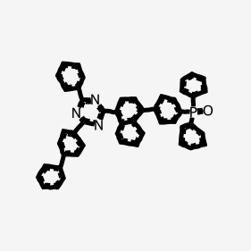 O=P(c1ccccc1)(c1ccccc1)c1ccc(-c2ccc(-c3nc(-c4ccccc4)nc(-c4ccc(-c5ccccc5)cc4)n3)c3ccccc23)cc1